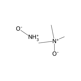 C[N+](C)(C)[O-].[NH3+][O-]